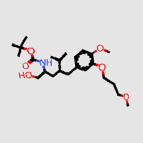 COCCCOc1cc(CC(CC(CO)NC(=O)OC(C)(C)C)C(C)C)ccc1OC